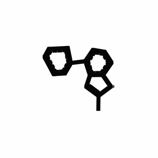 CC1=Cc2c(cccc2-c2ccccc2)[CH]1